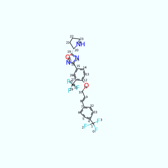 FC(F)(F)c1ccc(/C=C/COc2ccc(-c3noc([C@@H]4CCCN4)n3)cc2C(F)(F)F)cc1